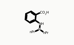 CCCN(CCC)Nc1ccccc1C(=O)O